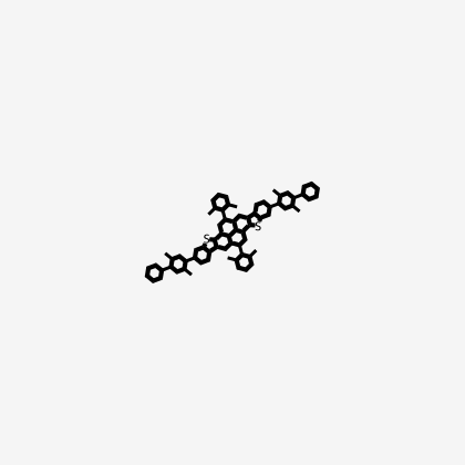 Cc1cc(-c2ccc3c(c2)sc2c3cc3c(-c4c(C)cccc4C)cc4c5sc6cc(-c7cc(C)c(-c8ccccc8)cc7C)ccc6c5cc5c(-c6c(C)cccc6C)cc2c3c54)c(C)cc1-c1ccccc1